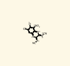 N#CN=C1N=c2cc(Cl)c(Cl)c([N+](=O)[O-])c2=NC1=NC#N